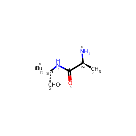 CC[C@H](C)[C@@H]([C]=O)NC(=O)[C@H](C)N